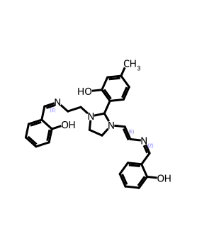 Cc1ccc(C2N(/C=C/N=C\c3ccccc3O)CCN2CC/N=C\c2ccccc2O)c(O)c1